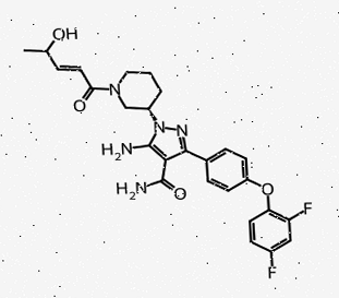 CC(O)C=CC(=O)N1CCC[C@@H](n2nc(-c3ccc(Oc4ccc(F)cc4F)cc3)c(C(N)=O)c2N)C1